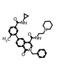 Cc1ccc(C(=O)NC2CC2)cc1-c1ccc2c(=O)n(Cc3ccccc3)cc(C(=O)NCCN3CCCCC3)c2c1